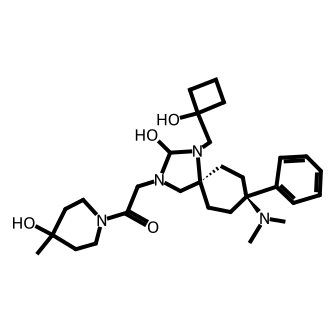 CN(C)[C@]1(c2ccccc2)CC[C@]2(CC1)CN(CC(=O)N1CCC(C)(O)CC1)C(O)N2CC1(O)CCC1